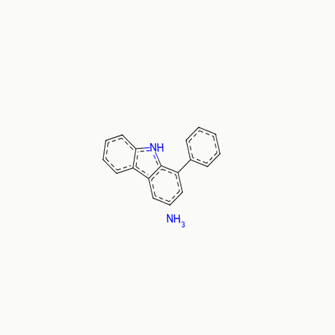 N.c1ccc(-c2cccc3c2[nH]c2ccccc23)cc1